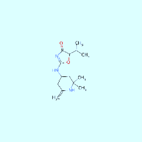 C=C1CC(NC2=NC(=O)C(C(C)C)O2)CC(C)(C)N1